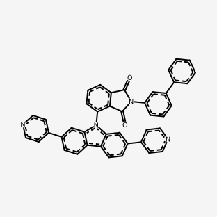 O=C1c2cccc(-n3c4cc(-c5ccncc5)ccc4c4ccc(-c5ccncc5)cc43)c2C(=O)N1c1cccc(-c2ccccc2)c1